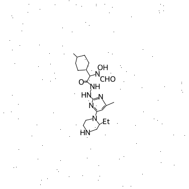 CCC1CNCCN1c1cc(C)nc(NNC(=O)C(C2CCC(C)CC2)N(O)C=O)n1